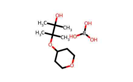 CC(C)(O)C(C)(C)OC1CCOCC1.OB(O)O